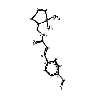 CC1(C)CCCC1CNC(=O)/C=C/c1ccc(C=O)cc1